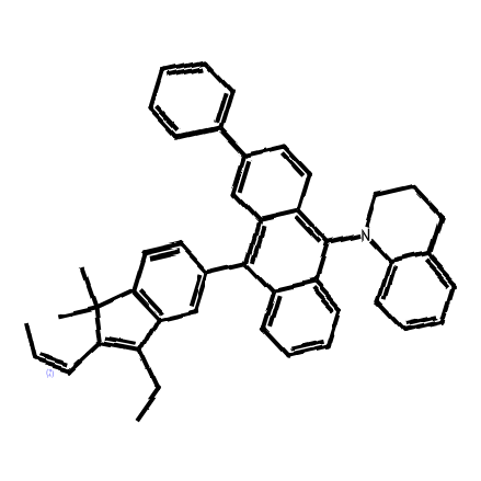 C/C=C\C1=C(CC)c2cc(-c3c4ccccc4c(N4CCCc5ccccc54)c4ccc(-c5ccccc5)cc34)ccc2C1(C)C